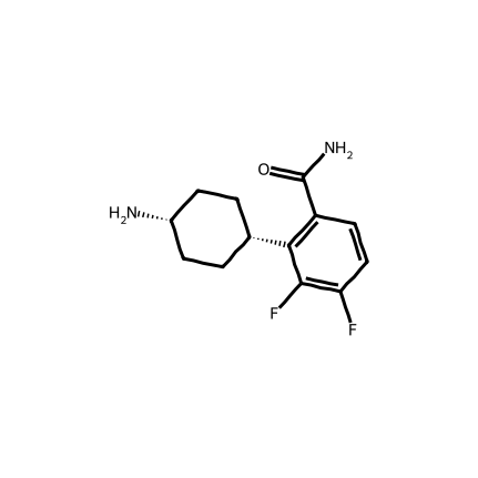 NC(=O)c1ccc(F)c(F)c1[C@H]1CC[C@@H](N)CC1